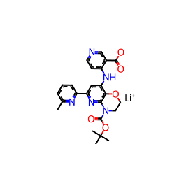 Cc1cccc(-c2cc(Nc3ccncc3C(=O)[O-])c3c(n2)N(C(=O)OC(C)(C)C)CCO3)n1.[Li+]